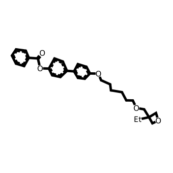 CCC1(COCCCCCCOc2ccc(-c3ccc(OC(=O)c4ccccc4)cc3)cc2)COC1